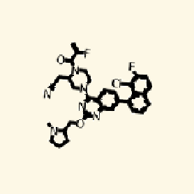 C=C(F)C(=O)N1CCN(c2nc(OCC3CCCN3C)nc3cc(-c4cccc5ccc(F)c(Cl)c45)ccc23)CC1CC#N